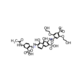 CC(=O)Nc1ccc(/N=N/c2ccc3cc(S(=O)(=O)O)c(/N=N/c4cc(OCCO)c([N+](=O)[O-])cc4OCCO)c(O)c3c2O)c(S(=O)(=O)O)c1